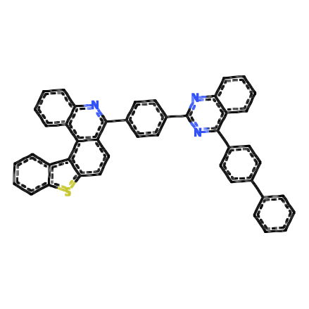 c1ccc(-c2ccc(-c3nc(-c4ccc(-c5nc6ccccc6c6c5ccc5sc7ccccc7c56)cc4)nc4ccccc34)cc2)cc1